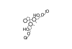 Cc1cc(C2(c3cc(C)c(CC(O)COCC4CO4)c(C)c3)CCc3ccccc32)cc(C)c1CC(O)COCC1CO1